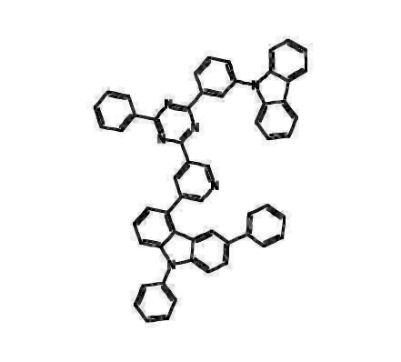 c1ccc(-c2ccc3c(c2)c2c(-c4cncc(-c5nc(-c6ccccc6)nc(-c6cccc(-n7c8ccccc8c8ccccc87)c6)n5)c4)cccc2n3-c2ccccc2)cc1